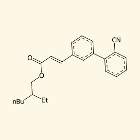 CCCCC(CC)COC(=O)C=Cc1cccc(-c2ccccc2C#N)c1